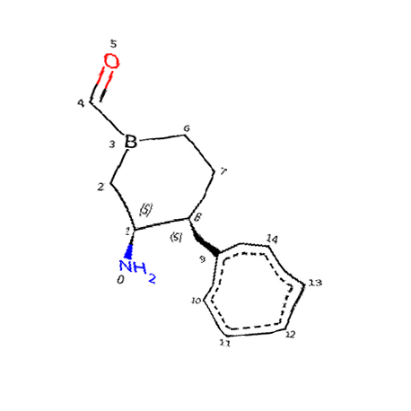 N[C@H]1CB(C=O)CC[C@H]1c1ccccc1